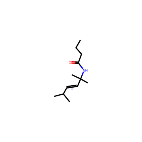 CCCC(=O)NC(C)(C)/C=C/C(C)C